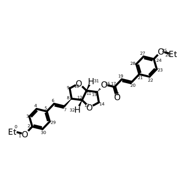 CCOc1ccc(C=C[C@H]2CO[C@H]3[C@@H]2OC[C@H]3OC(=O)/C=C/c2ccc(OCC)cc2)cc1